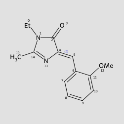 CCN1C(=O)/C(=C/c2ccccc2OC)N=C1C